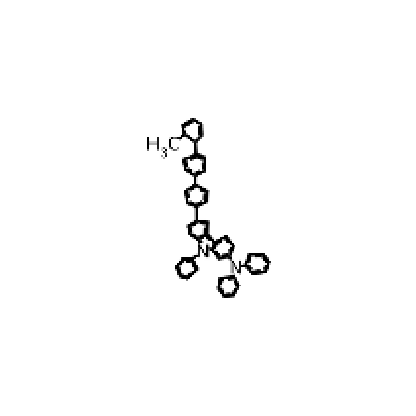 CC1C=CC=CC1c1ccc(-c2ccc(-c3ccc4c(c3)c3ccc(N(c5ccccc5)c5ccccc5)cc3n4-c3ccccc3)cc2)cc1